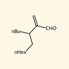 C=C([C]=O)C(CCCC)CCCCCCC